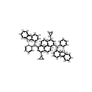 C1=CCC(N(c2cc(C3CC3)c3ccc4c(N(c5ccccc5)c5cccc6c5oc5ccccc56)cc(C5CC5)c5ccc2c3c54)c2cccc3c2oc2ccccc23)C=C1